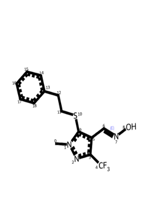 Cn1nc(C(F)(F)F)c(/C=N/O)c1SCCc1ccccc1